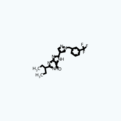 CCC(CC)c1nc2nc(-c3cnn(Cc4cccc(C(F)(F)F)c4)c3)[nH]c2c(=O)[nH]1